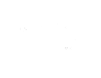 COC(C)(C)COC(C)(C)CCCN